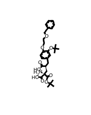 CC(C)(C)OC(=O)[C@](N)(C[C@H](Cc1ccc(OCCOCc2ccccc2)c(OC(C)(C)C)c1)C(=O)O)C(=O)O